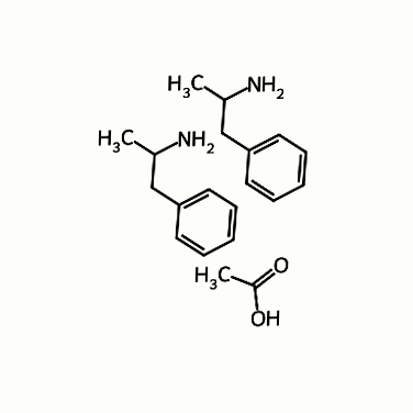 CC(=O)O.CC(N)Cc1ccccc1.CC(N)Cc1ccccc1